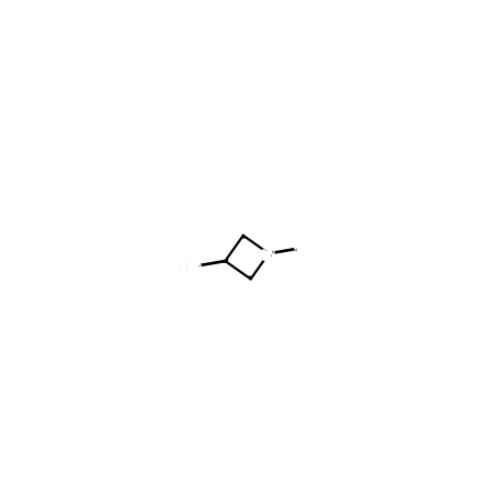 CCN1CC(O)C1.Cl